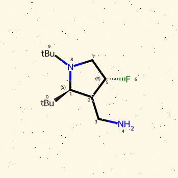 CC(C)(C)[C@@H]1C(CN)[C@@H](F)CN1C(C)(C)C